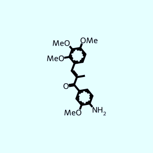 COc1cc(C(=O)/C(C)=C/c2ccc(OC)c(OC)c2OC)ccc1N